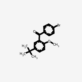 COc1ccc(C(C)(C)C)cc1C(=O)c1ccc(Br)cc1